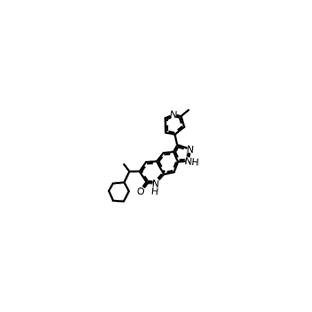 Cc1cc(-c2n[nH]c3cc4[nH]c(=O)c(C(C)C5CCCCC5)cc4cc23)ccn1